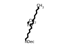 C=CCCC.C=CCCCCCCCCCCCCCCCCCCCCCCC